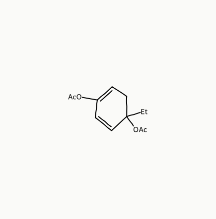 CCC1(OC(C)=O)C=CC(OC(C)=O)=CC1